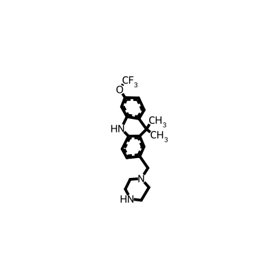 CC1(C)c2ccc(OC(F)(F)F)cc2Nc2ccc(CN3CCNCC3)cc21